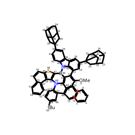 COc1c(-c2ccccc2)cc2c3c1-c1cc(C45CC6CC(CC(C6)C4)C5)cc4c5cc(C67CC8CC(CC(C8)C6)C7)ccc5n(c14)B3c1sc3ccc4ccccc4c3c1N2c1ccc(C(C)(C)C)cc1-c1ccccc1